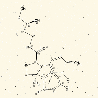 C=C/C=C\C(=C(\F)CCl)[C@H]1[C@H](C(=O)NCC[C@H](O)CO)NC[C@]1(N)c1ccc(Cl)cc1F